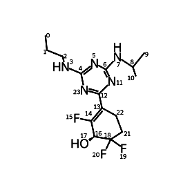 CCCNc1nc(NC(C)C)nc(C2=C(F)[C@H](O)C(F)(F)CC2)n1